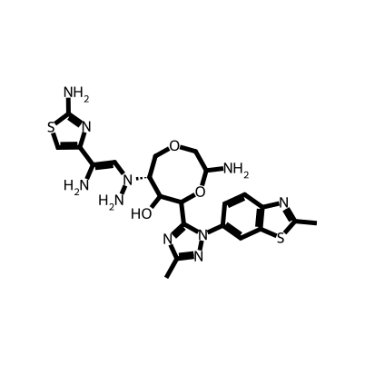 Cc1nc(C2OC(N)COC[C@@H](N(N)/C=C(\N)c3csc(N)n3)C2O)n(-c2ccc3nc(C)sc3c2)n1